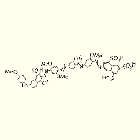 COc1ccc(Nc2ccc3c(O)c(N=Nc4cc(OC)c(N=Nc5ccc(N=Nc6ccc(N=Nc7cc(S(=O)(=O)O)c8cc(S(=O)(=O)O)cc(S(=O)(=O)O)c8c7)c(OC)c6)c(C)c5)cc4OC)c(S(=O)(=O)O)cc3c2)cc1